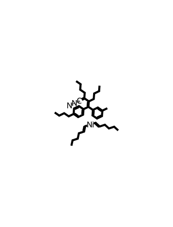 CCCCC(=C=[N+]=[N-])C(CCCC)=C(c1ccc(CCCC)cc1)c1cccc(C)c1.CCCCC=[CH][Ni][CH]=CCCCC